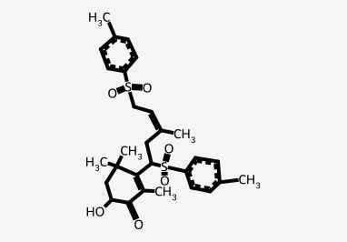 CC(=CCS(=O)(=O)c1ccc(C)cc1)CC(C1=C(C)C(=O)C(O)CC1(C)C)S(=O)(=O)c1ccc(C)cc1